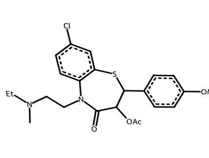 CCN(C)CCN1C(=O)C(OC(C)=O)C(c2ccc(OC)cc2)Sc2cc(Cl)ccc21